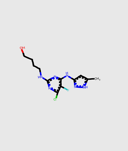 Cc1cc(Nc2nc(NCCCCO)nc(Cl)c2F)n[nH]1